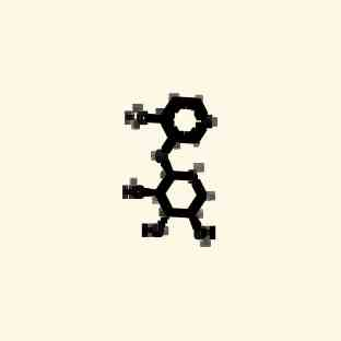 O[C@@H]1[C@@H](O)[C@@H](Oc2cnccc2C(F)(F)F)SC[C@H]1O